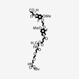 COc1cc2c(c(F)c1OCCCOc1c(OC)cc3c(c1F)CN(C(=O)CCC(=O)OC(C)CNC(=O)CCOCCOCCNC(=O)OC(C)(C)C)C3)CN(C(=O)CCC(=O)O)C2